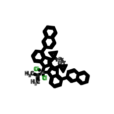 CCCC1(CC2=Cc3c(-c4ccc5ccccc5c4)cccc3[CH]2[Zr]([Cl])([Cl])([CH]2C(CC3(CCC)CC3)=Cc3c(-c4ccc5ccccc5c4)cccc32)[SiH](C)C)CC1